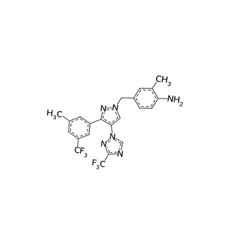 Cc1cc(-c2nn(Cc3ccc(N)c(C)c3)cc2-n2cnc(C(F)(F)F)n2)cc(C(F)(F)F)c1